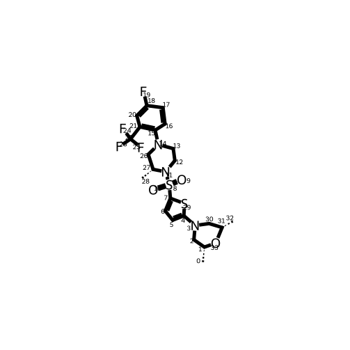 C[C@@H]1CN(c2ccc(S(=O)(=O)N3CCN(c4ccc(F)cc4C(F)(F)F)C[C@H]3C)s2)C[C@H](C)O1